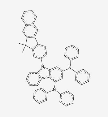 CC1(C)c2cc(-n3c4ccccc4c4c(N(c5ccccc5)c5ccccc5)cc(N(c5ccccc5)c5ccccc5)cc43)ccc2-c2cc3ccccc3cc21